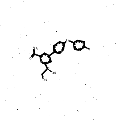 NC(=O)c1cc(-c2ccc(Oc3ccc(F)cc3)cc2)cc([C@@H](O)CO)n1